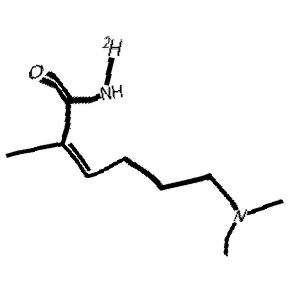 [2H]NC(=O)C(C)=CCCCN(C)C